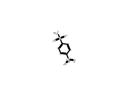 CS(=O)(=O)c1ccc([SH](=O)=O)cc1